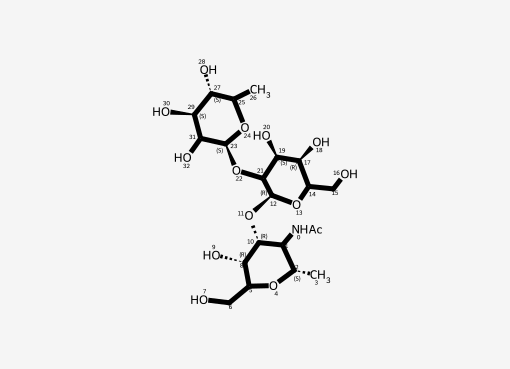 CC(=O)NC1[C@H](C)OC(CO)[C@H](O)[C@@H]1O[C@@H]1OC(CO)[C@H](O)[C@H](O)C1O[C@@H]1OC(C)[C@@H](O)[C@H](O)C1O